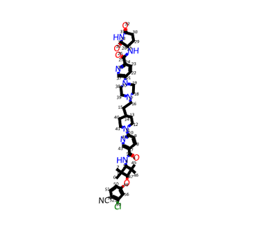 CC1(C)C(NC(=O)c2ccc(N3CCC(CCN4CCN(c5ccc(C(=O)N[C@@H]6CCC(=O)NC6=O)nc5)CC4)CC3)nc2)C(C)(C)C1Oc1ccc(C#N)c(Cl)c1